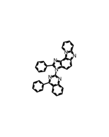 c1ccc(-c2nc(-n3c(-c4ccccc4)nc4c3ccc3nc5ccccn5c34)nc3ccccc23)cc1